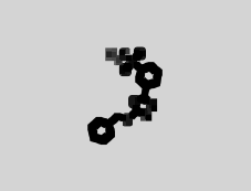 CS(=O)(=O)c1cccc(-c2nnc(SCc3ccccc3)o2)c1